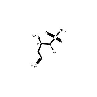 C=CC[C@@H](OC)[C@@H](CC)S(N)(=O)=O